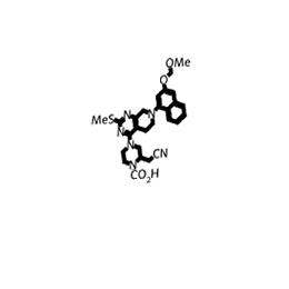 COCOc1cc(N2CCc3c(nc(SC)nc3N3CCN(C(=O)O)C(CC#N)C3)C2)c2ccccc2c1